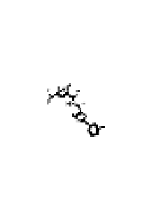 Cc1cccc(-c2noc([C@@H](C)NC(=O)c3cc(C(F)F)nn3C)n2)c1